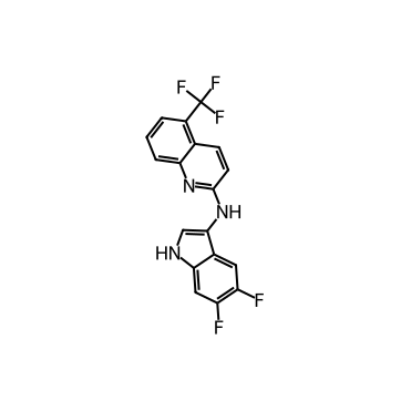 Fc1cc2[nH]cc(Nc3ccc4c(C(F)(F)F)cccc4n3)c2cc1F